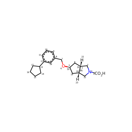 O=C(O)N1C[C@H]2C[C@H](OCc3cccc(C4CCCC4)c3)C[C@H]2C1